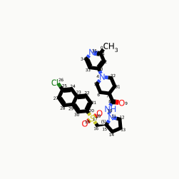 Cc1cc(N2CCC(C(=O)NN3CCC[C@H]3CS(=O)(=O)c3ccc4cc(Cl)ccc4c3)CC2)ccn1